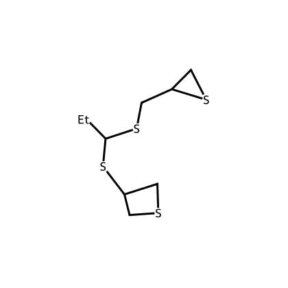 CCC(SCC1CS1)SC1CSC1